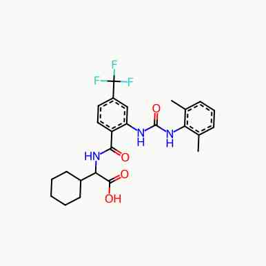 Cc1cccc(C)c1NC(=O)Nc1cc(C(F)(F)F)ccc1C(=O)NC(C(=O)O)C1CCCCC1